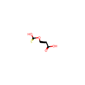 O=C(O)C=COC(O)=S